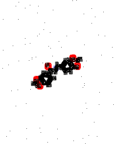 O=C(/C=C/c1ccc2c(c1)OCO2)c1ccc2c(c1)OCO2